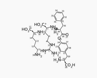 N=C(N)NCCC[C@H](N)C(=O)O.NCCCC[C@H](N)C(=O)O.N[C@@H](Cc1ccc(OC(=O)[C@@H](N)Cc2ccccc2)cc1)C(=O)O